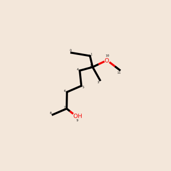 CCC(C)(CCCC(C)O)OC